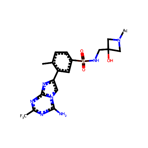 CC(=O)N1CC(O)(CNS(=O)(=O)c2ccc(C)c(-c3cn4c(N)nc(C(F)(F)F)nc4n3)c2)C1